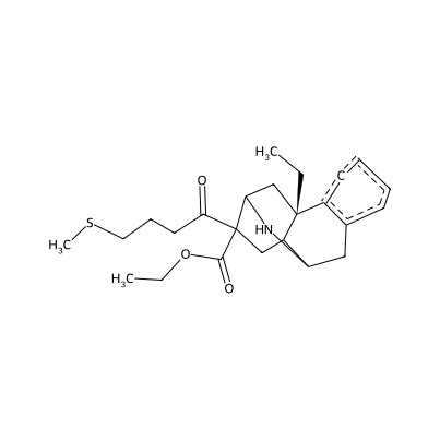 CCOC(=O)C1(C(=O)CCCSC)CC2C3Cc4ccccc4[C@@]2(CC)CC1N3